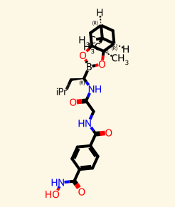 CC(C)C[C@H](NC(=O)CNC(=O)c1ccc(C(=O)NO)cc1)B1OC2C[C@H]3C[C@H](C3(C)C)[C@@]2(C)O1